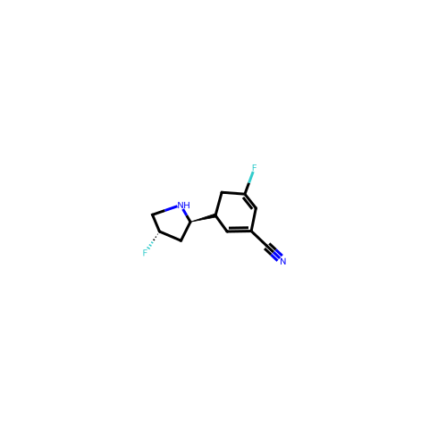 N#CC1=CC([C@H]2C[C@H](F)CN2)CC(F)=C1